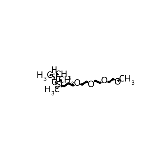 COCCOCCOCCOCCC[Si](C)(C)O[SiH](C)C